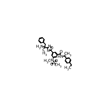 C=Cc1ccc([C@@H](C)NC(=O)c2cc(-c3nc([C@](C)(N)Cc4ccccc4)no3)cc(N(C)S(C)(=O)=O)c2)cc1